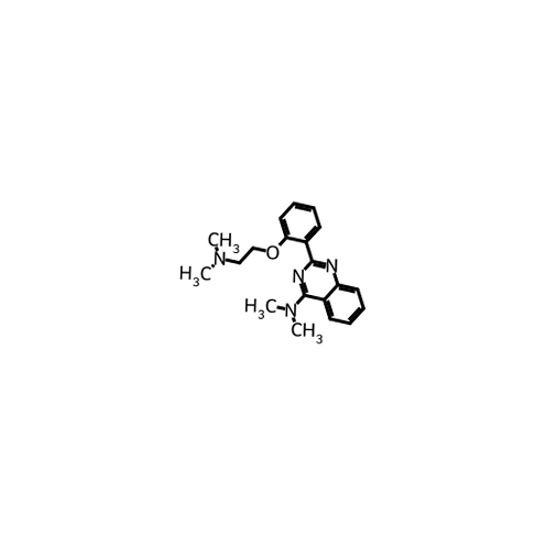 CN(C)CCOc1ccccc1-c1nc(N(C)C)c2ccccc2n1